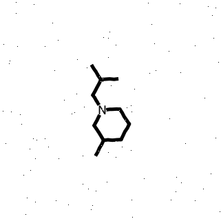 CC(C)CN1CCCC(C)C1